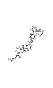 CCOC(=O)[C@H]1CCCN(S(=O)(=O)c2cccc(COc3ccc(-c4ccnn4C4CCCCO4)nc3)c2)C1